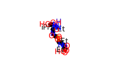 CCNC(=O)c1nnc(-c2cc(C(C)C)c(O)cc2O)n1-c1ccc2cn(C(=O)c3ccc(S(=O)(=O)Oc4ccc5nc6c(c(CC)c5c4)Cn4c-6cc5c(c4=O)COC(=O)C5(O)CC)cc3)cc2c1